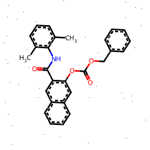 Cc1cccc(C)c1NC(=O)c1cc2ccccc2cc1OC(=O)OCc1ccccc1